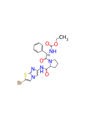 CCOC(=O)N[C@H](C(=O)N1CCCC1C(=O)Nc1cn2cc(Br)sc2n1)c1ccccc1